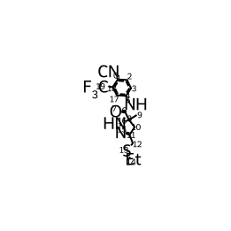 [C-]#[N+]c1ccc(NC(=O)C2(C)CC(CSCC)=NN2)cc1C(F)(F)F